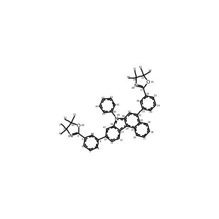 CC1(C)N=C(c2cccc(-c3ccc4c5c6ccccc6c(-c6cccc(C7=NC(C)(C)C(C)(C)O7)c6)cc5n(-c5ccccc5)c4c3)c2)OC1(C)C